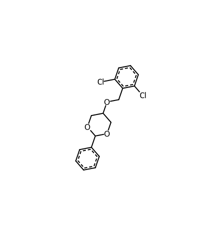 Clc1cccc(Cl)c1COC1COC(c2ccccc2)OC1